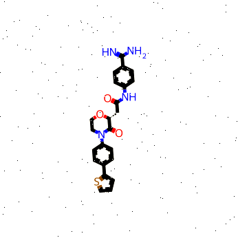 N=C(N)c1ccc(NC(=O)C[C@H]2OCCN(c3ccc(-c4cccs4)cc3)C2=O)cc1